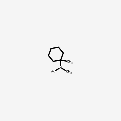 CC(=O)N(C)C1(C)CCCCC1